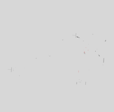 CCCCOC[C@@H]1[C@H](C/C=C\C/C=C/C(=O)O)[C@@H]2CC[C@H]1O2